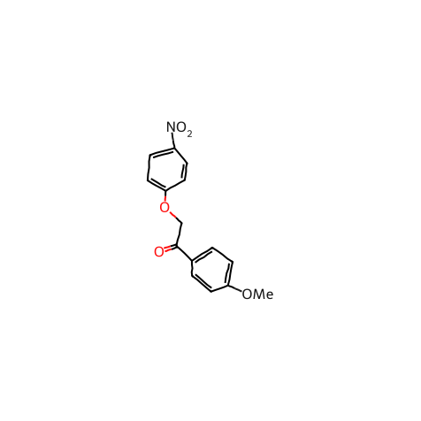 COc1ccc(C(=O)COc2ccc([N+](=O)[O-])cc2)cc1